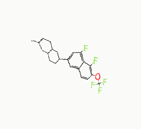 CC1CCC2CC(c3cc(F)c4c(F)c(OC(F)(F)F)ccc4c3)CCC2C1